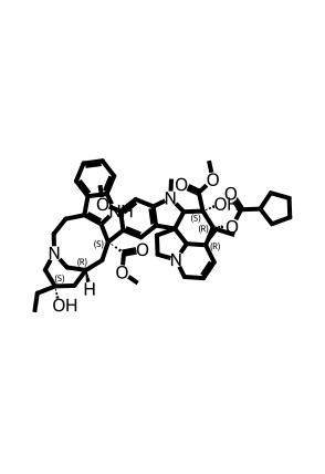 CC[C@]1(O)C[C@@H]2CN(CCc3c([nH]c4ccccc34)[C@@](C(=O)OC)(c3cc4c(cc3OC)N(C)C3C45CCN4CC=C[C@](CC)(C45)[C@@H](OC(=O)C4CCCC4)[C@]3(O)C(=O)OC)C2)C1